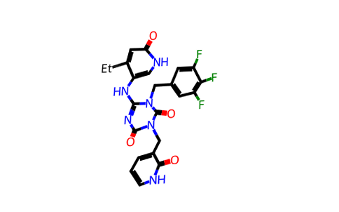 CCc1cc(=O)[nH]cc1Nc1nc(=O)n(Cc2ccc[nH]c2=O)c(=O)n1Cc1cc(F)c(F)c(F)c1